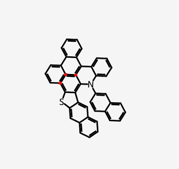 c1ccc(N(c2ccc3ccccc3c2)c2cccc3sc4cc5ccccc5cc4c23)c(-c2cc3ccccc3c3ccccc23)c1